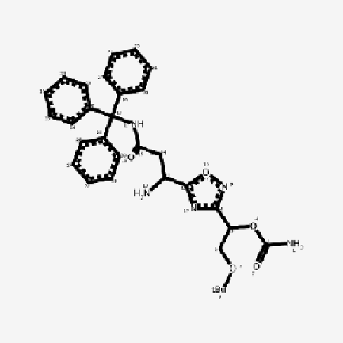 CC(C)(C)OCC(OC(N)=O)c1noc(C(N)CC(=O)NC(c2ccccc2)(c2ccccc2)c2ccccc2)n1